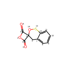 O=C1OC(=O)C12Cc1ccccc1SO2